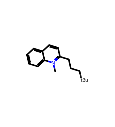 C[n+]1c(CCCC(C)(C)C)ccc2ccccc21